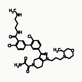 CNCCCNC(=O)c1cc(-c2cc(-c3nn(CCCN4CCOC[C@@H]4C)c4c3CN(C(=O)C(N)=O)CC4)ccc2Cl)ccc1Cl